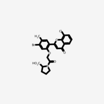 Cc1cc(-c2cc(=O)c3cccc(Cl)c3o2)c(OCC(=O)N2CCCC2C(=O)O)cc1Br